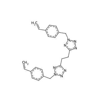 C=Cc1ccc(Cn2nnc(CCc3nnn(Cc4ccc(C=C)cc4)n3)n2)cc1